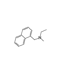 CCN(C)Cc1cccc2ccccc12